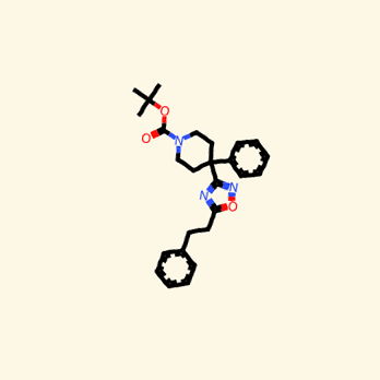 CC(C)(C)OC(=O)N1CCC(c2ccccc2)(c2noc(CCc3ccccc3)n2)CC1